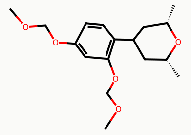 COCOc1ccc(C2C[C@@H](C)O[C@@H](C)C2)c(OCOC)c1